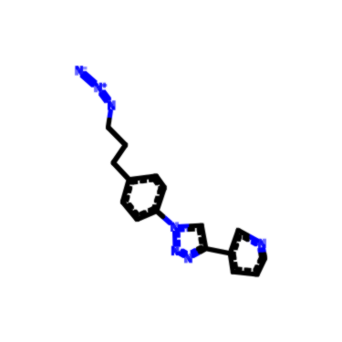 [N-]=[N+]=NCCCc1ccc(-n2cc(-c3cccnc3)nn2)cc1